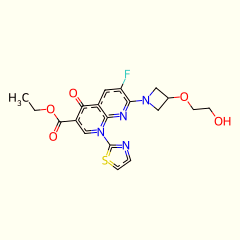 CCOC(=O)c1cn(-c2nccs2)c2nc(N3CC(OCCO)C3)c(F)cc2c1=O